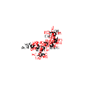 CC(=O)NC1[C@H](OC2C(O)[C@H](O)C(CO)O[C@@H]2O[C@@H]2C(O)[C@H](O[C@@H]3C(CO)O[C@@H](O[C@@H]4C(CO)O[C@@H](C)C(NC(C)=O)[C@H]4O)C(NC(C)=O)[C@H]3O)OC(CO[C@H]3OC(CO)[C@@H](O)[C@H](O)C3CCO)[C@H]2O)OC(CO)[C@@H](O[C@@H]2OC3[C@@H]([C@H](O)C2O)C3(O)O[C@]2(OC=O)C[C@@H](O)[C@@H](C)C([C@H](O)[C@H](O)CO)O2)[C@@H]1O